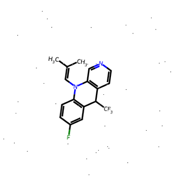 CC(C)=CN1c2ccc(F)cc2C(C(F)(F)F)c2ccncc21